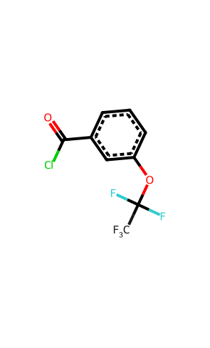 O=C(Cl)c1cccc(OC(F)(F)C(F)(F)F)c1